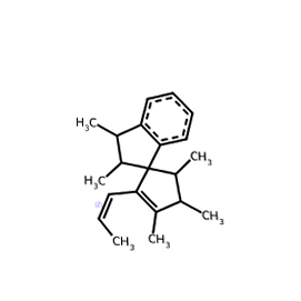 C/C=C\C1=C(C)C(C)C(C)C12c1ccccc1C(C)C2C